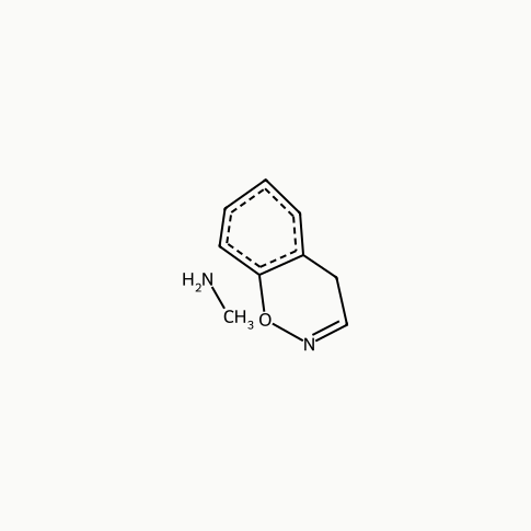 C1=NOc2ccccc2C1.CN